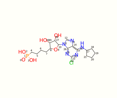 O=P(O)(O)CCCCC1OC(n2cnc3c(NC4CCCC4)nc(Cl)nc32)C(O)C1O